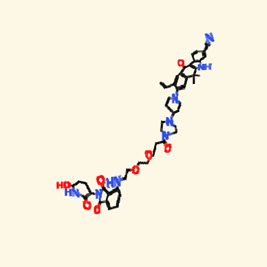 CCc1cc2c(cc1N1CCC(N3CCN(C(=O)CCOCCOCCNc4cccc5c4C(=O)N(C4CCC(O)NC4=O)C5=O)CC3)CC1)C(C)(C)c1[nH]c3cc(C#N)ccc3c1C2=O